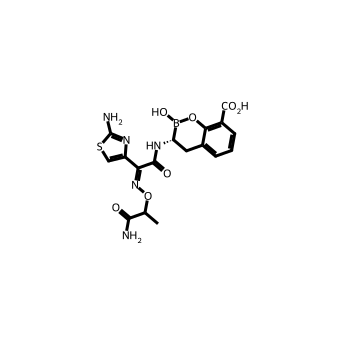 CC(O/N=C(\C(=O)N[C@H]1Cc2cccc(C(=O)O)c2OB1O)c1csc(N)n1)C(N)=O